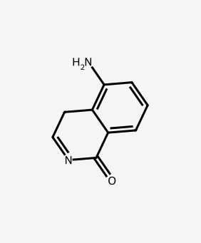 Nc1cccc2c1CC=NC2=O